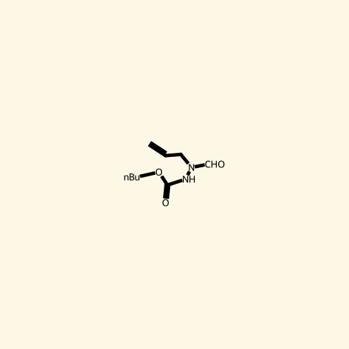 C=CCN(C=O)NC(=O)OCCCC